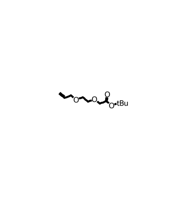 C=CCOCCOCC(=O)OC(C)(C)C